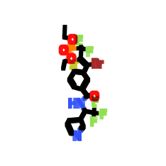 CCOP(=O)(OCC)C(F)(F)c1sc2ccc(C(=O)NC(c3cccnc3)C(F)(F)F)cc2c1Br